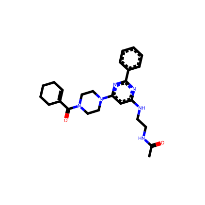 CC(=O)NCCNc1cc(N2CCN(C(=O)C3=CCCCC3)CC2)nc(-c2ccccc2)n1